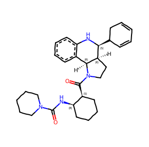 O=C(N[C@@H]1CCCC[C@@H]1C(=O)N1CC[C@@H]2[C@H](C3C=CC=CC3)Nc3ccccc3[C@@H]21)N1CCCCC1